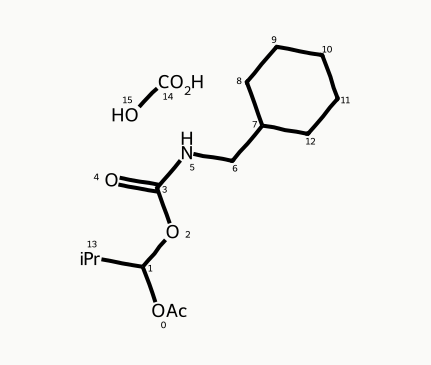 CC(=O)OC(OC(=O)NCC1CCCCC1)C(C)C.O=C(O)O